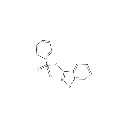 O=S(=O)(Sc1nsc2ccccc12)c1ccccc1